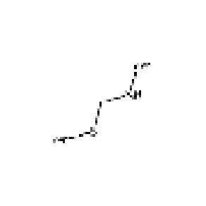 CCCNCSC(C)C